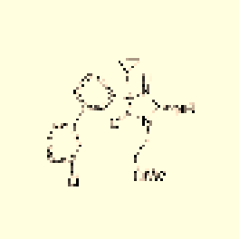 COCCN1C(=N)NC(c2cccc(-c3cccc(Cl)c3)c2)(C2CC2)C1=O